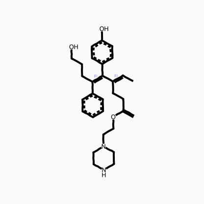 C=C(CCC(=C\C)/C(=C(/CCCO)c1ccccc1)c1ccc(O)cc1)OCCN1CCNCC1